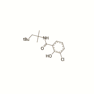 CC(C)(C)CC(C)(C)NC(=O)c1cccc(Cl)c1O